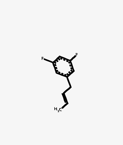 CC=CCc1cc(F)cc(F)c1